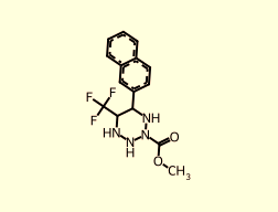 COC(=O)N1NNC(C(F)(F)F)C(c2ccc3ccccc3c2)N1